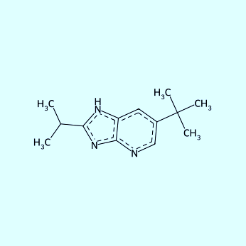 CC(C)c1nc2ncc(C(C)(C)C)cc2[nH]1